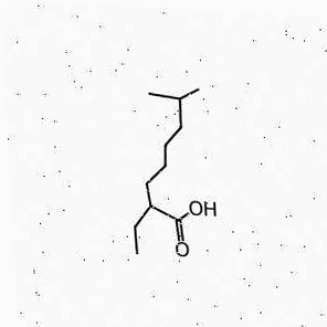 CCC(CCCCC(C)C)C(=O)O